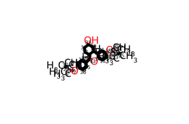 CC(C)(C)[Si](C)(C)Oc1ccc(C2Oc3ccc(O[Si](C)(C)C(C)(C)C)cc3[C@H]3C[C@@H](O)CC[C@@H]23)cc1